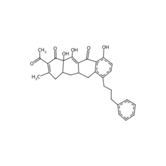 CC(=O)C1=C(C)CC2CC3Cc4c(CCCc5ccccc5)ccc(O)c4C(=O)C3=C(O)C2(O)C1=O